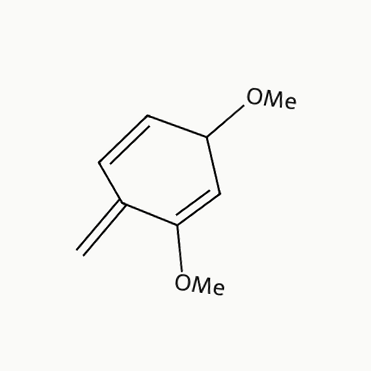 C=C1C=CC(OC)C=C1OC